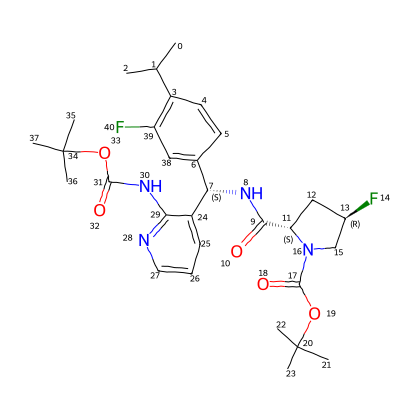 CC(C)c1ccc([C@H](NC(=O)[C@@H]2C[C@@H](F)CN2C(=O)OC(C)(C)C)c2cccnc2NC(=O)OC(C)(C)C)cc1F